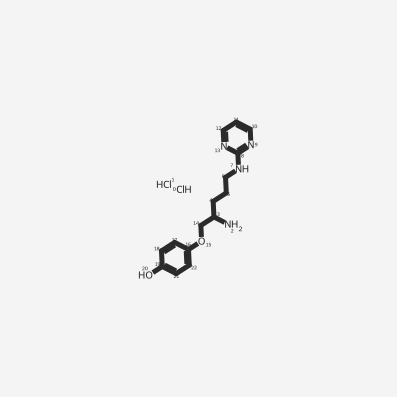 Cl.Cl.NC(CCCNc1ncccn1)COc1ccc(O)cc1